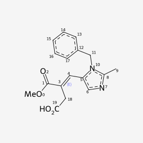 COC(=O)/C(=C/c1cnc(C)n1Cc1ccccc1)CC(=O)O